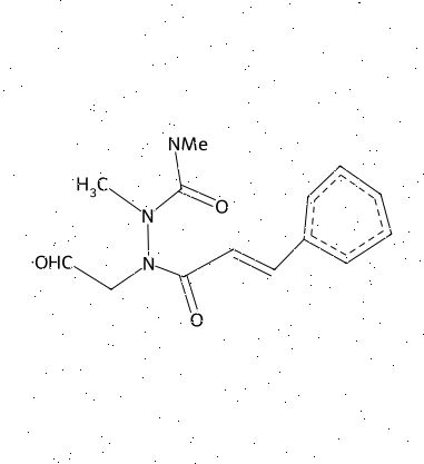 CNC(=O)N(C)N(C[C]=O)C(=O)/C=C/c1ccccc1